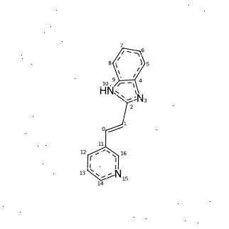 C(=Cc1nc2ccccc2[nH]1)c1cccnc1